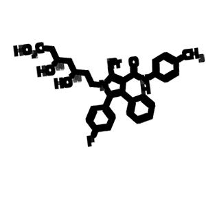 Cc1ccc(NC(=O)c2c(-c3ccccc3)c(-c3ccc(F)cc3)n(CC[C@@H](O)C[C@@H](O)CC(=O)O)c2C(C)C)cc1